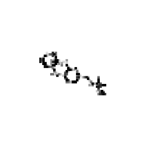 CC(C)(C)[Si](C)(C)OCc1ccc(Nc2cncnc2)c(C(=O)O)n1